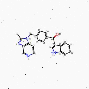 Cc1nc2cnccc2n1Cc1ccc(C(=O)c2c[nH]c3ccccc23)cc1